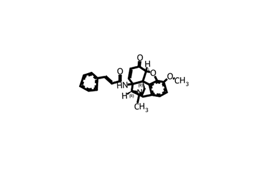 COc1ccc2c3c1O[C@H]1C(=O)C=CC4(NC(=O)C=Cc5ccccc5)[C@@H](C2)N(C)CC[C@]314